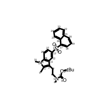 Cc1c(CCN(C)C(=O)OC(C)(C)C)c2cc(S(=O)(=O)c3cccc4ccccc34)ccc2n1C